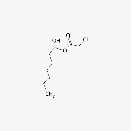 CCCCCCC(O)OC(=O)CCl